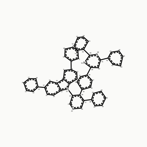 c1ccc(-c2ccc3c(c2)c2cc(-c4ccccc4)ccc2n3-c2cncc(-c3ccccc3)c2-c2ccc(-c3cc(-c4ccccc4)nc(-c4ccccc4)n3)cc2)cc1